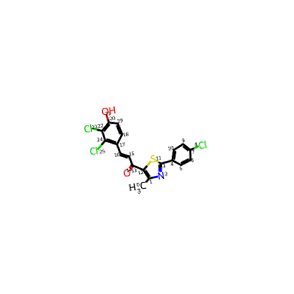 Cc1nc(-c2ccc(Cl)cc2)sc1C(=O)C=Cc1ccc(O)c(Cl)c1Cl